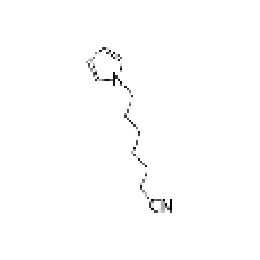 N#CCCCCCCn1cccc1